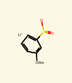 COc1cccc(S(=O)[O-])c1.[Li+]